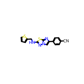 N#Cc1ccc(-c2cn3nc(NCc4cccs4)sc3n2)cc1